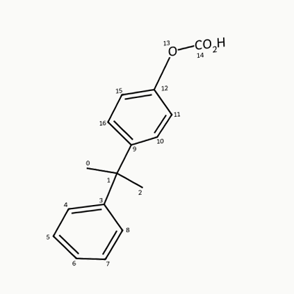 CC(C)(c1ccccc1)c1ccc(OC(=O)O)cc1